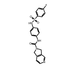 O=C(Nc1ccc(NS(=O)(=O)c2ccc(F)cc2)cc1)N1Cc2ccncc2C1